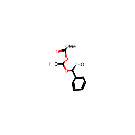 COC(=O)OC(C)OC(C=O)c1cc[c]cc1